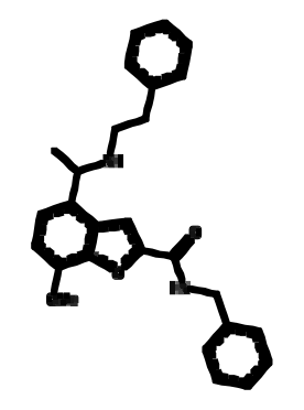 COc1ccc(C(C)NCCc2ccccc2)c2cc(C(=O)NCc3ccccc3)oc12